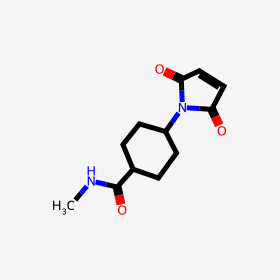 CNC(=O)C1CCC(N2C(=O)C=CC2=O)CC1